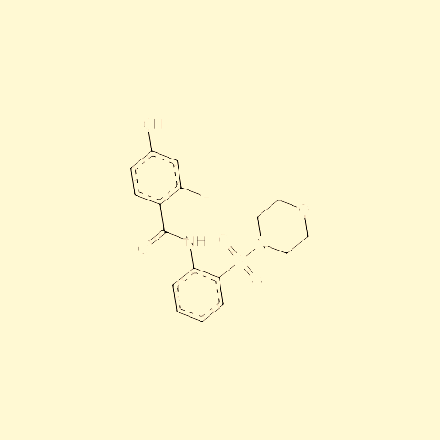 Cc1ccc(C(=O)Nc2ccccc2S(=O)(=O)N2CCOCC2)c(F)c1